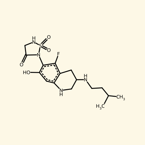 CC(C)CCNC1CNc2cc(O)c(N3C(=O)CNS3(=O)=O)c(F)c2C1